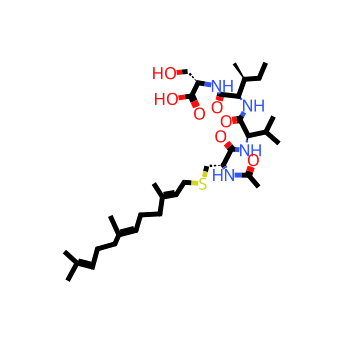 CC[C@H](C)[C@H](NC(=O)[C@@H](NC(=O)[C@@H](CSC/C=C(\C)CC/C=C(\C)CCC=C(C)C)NC(C)=O)C(C)C)C(=O)N[C@@H](CO)C(=O)O